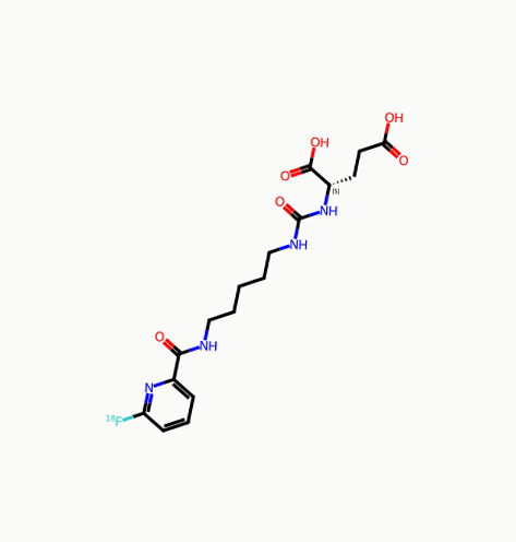 O=C(O)CC[C@H](NC(=O)NCCCCCNC(=O)c1cccc([18F])n1)C(=O)O